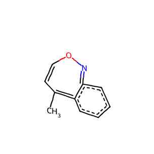 CC1=c2ccccc2=NOC=C1